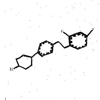 CCC1CCC(c2ccc(CCc3ccc(F)cc3F)cc2)CC1